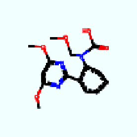 COCN(C(=O)O)c1ccccc1-c1nc(OC)cc(OC)n1